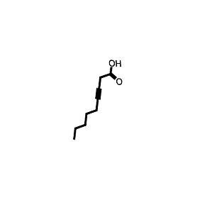 CCCCCC#CCC(=O)O